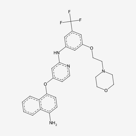 Nc1ccc(Oc2ccnc(Nc3cc(OCCN4CCOCC4)cc(C(F)(F)F)c3)c2)c2ccccc12